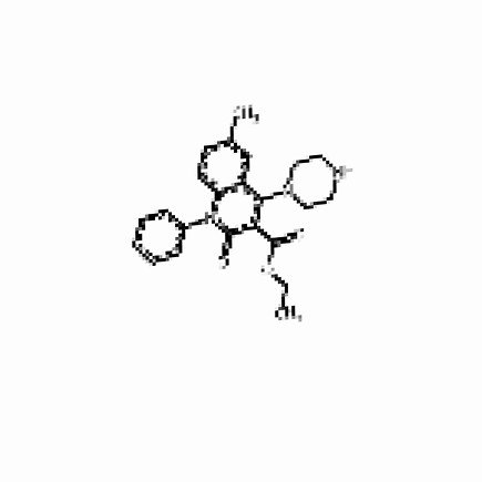 CCOC(=O)c1c(N2CCNCC2)c2cc(C)ccc2n(-c2ccccc2)c1=O